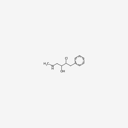 CNCC(O)C(Cl)Cc1ccccc1